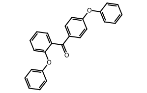 O=C(c1ccc(Oc2ccccc2)cc1)c1ccccc1Oc1ccccc1